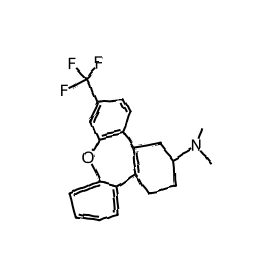 CN(C)C1CCC2=C(C1)c1ccc(C(F)(F)F)cc1Oc1ccccc12